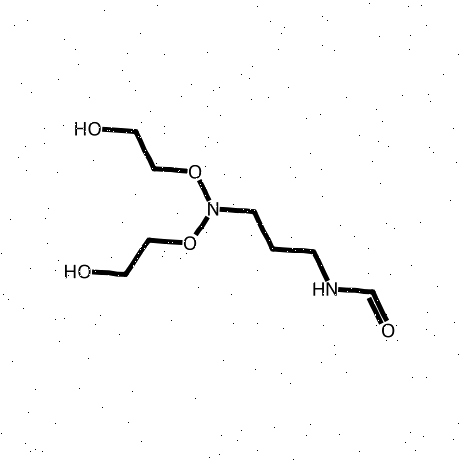 O=CNCCCN(OCCO)OCCO